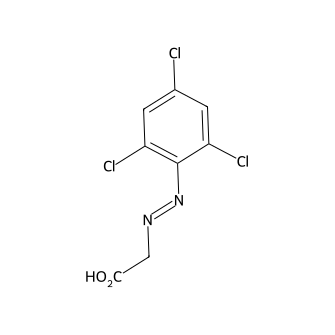 O=C(O)CN=Nc1c(Cl)cc(Cl)cc1Cl